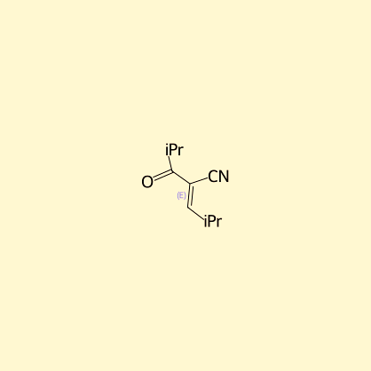 CC(C)/C=C(\C#N)C(=O)C(C)C